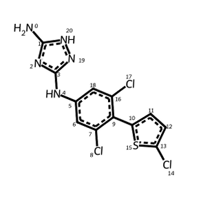 Nc1nc(Nc2cc(Cl)c(-c3ccc(Cl)s3)c(Cl)c2)n[nH]1